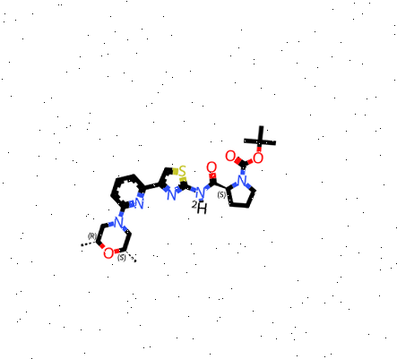 [2H]N(C(=O)[C@@H]1CCCN1C(=O)OC(C)(C)C)c1nc(-c2cccc(N3C[C@@H](C)O[C@@H](C)C3)n2)cs1